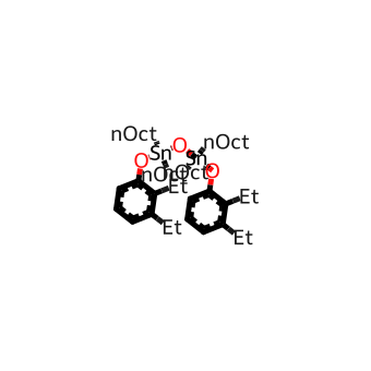 CCCCCCC[CH2][Sn]([CH2]CCCCCCC)([O]c1cccc(CC)c1CC)[O][Sn]([CH2]CCCCCCC)([CH2]CCCCCCC)[O]c1cccc(CC)c1CC